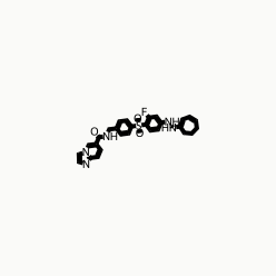 O=C(NCc1ccc(S(=O)(=O)c2ccc(NNC3=CC=CCCC3)cc2F)cc1)c1ccc2nccn2c1